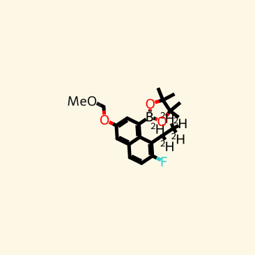 [2H]C([2H])([2H])C([2H])([2H])c1c(F)ccc2cc(OCOC)cc(B3OC(C)(C)C(C)(C)O3)c12